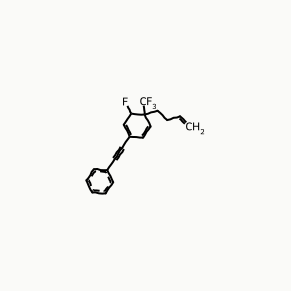 C=CCCC1(C(F)(F)F)C=CC(C#Cc2ccccc2)=CC1F